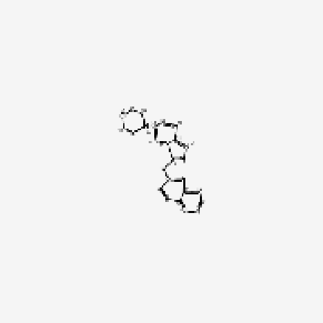 c1cnc2ccc(Cc3cnc4ccc(N5CCOCC5)nn34)cc2c1